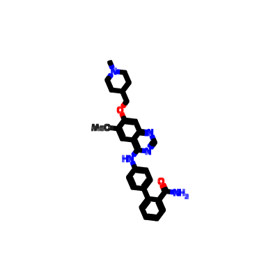 COc1cc2c(Nc3ccc(-c4ccccc4C(N)=O)cc3)ncnc2cc1OCC1CCN(C)CC1